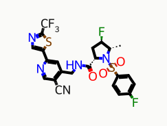 C[C@H]1[C@H](F)C[C@@H](C(=O)NCc2cc(-c3cnc(C(F)(F)F)s3)ncc2C#N)N1S(=O)(=O)c1ccc(F)cc1